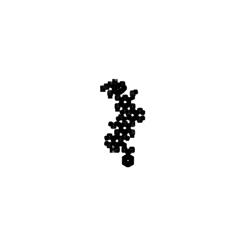 COCC1O[C@@H](O[C@H]2C(OC)C(OC)[C@@H](O[C@H]3C(OC)C(OC)[C@H](O[C@H]4C5CO[C@H](O5)C(N=[N+]=[N-])[C@@H]4OC)O[C@H]3COC)O[C@H]2COC)C(OC)[C@@H](OC)[C@@H]1O[C@@H]1OC(COC(=O)c2ccccc2)[C@@H](O)[C@H](OC)C1OC